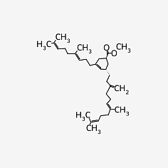 C=C(CC/C=C(\C)CCC=C(C)C)CC[C@@H]1C=C(CC/C=C(\C)CCC=C(C)C)C[C@@H](C(=O)OC)C1